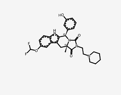 C[C@@]12Cc3c([nH]c4ccc(OC(F)F)cc34)[C@@H](c3cccc(O)c3)N1C(=O)N(CCN1CCCCC1)C2=O